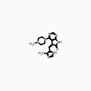 Cc1nc[nH]c1/C=C1\C(=O)Nc2ncnc(N3CCN(C)CC3)c21